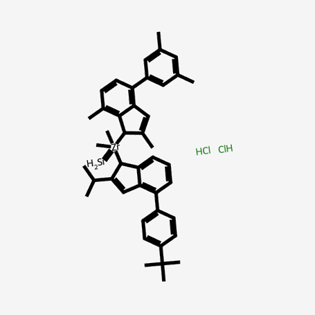 CC1=Cc2c(-c3cc(C)cc(C)c3)ccc(C)c2[CH]1[Zr]([CH3])([CH3])(=[SiH2])[CH]1C(C(C)C)=Cc2c(-c3ccc(C(C)(C)C)cc3)cccc21.Cl.Cl